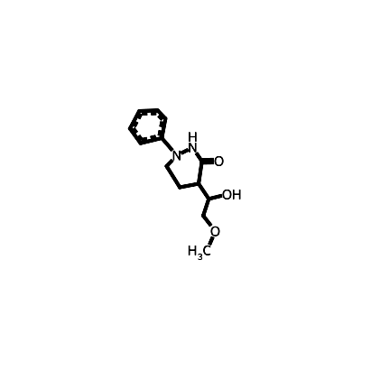 COCC(O)C1CCN(c2ccccc2)NC1=O